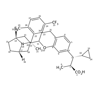 C[C@H](C(=O)O)[C@H](c1ccc2c(c1)OC(C1C[C@H]3CC[C@@H](C1)N3[C@@H](C)c1cc(C(F)(F)F)ccc1C(F)(F)F)CC2)C1CC1